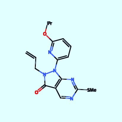 C=CCn1c(=O)c2cnc(SC)nc2n1-c1cccc(OC(C)C)n1